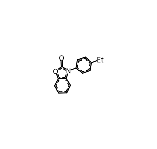 CCc1ccc(-n2c(=O)oc3ccccc32)cc1